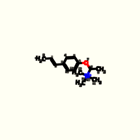 [CH2]/C=C/c1ccc(OC(C)[N+](C)(C)C)cc1